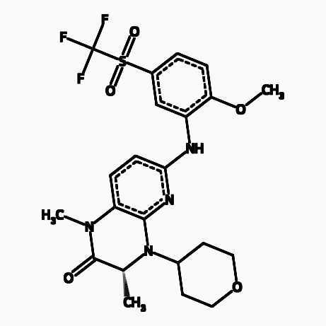 COc1ccc(S(=O)(=O)C(F)(F)F)cc1Nc1ccc2c(n1)N(C1CCOCC1)[C@H](C)C(=O)N2C